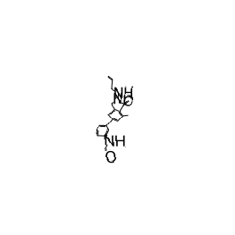 CCCNN1Cc2cc(-c3cccc(NC=O)c3)cc(C)c2C1=O